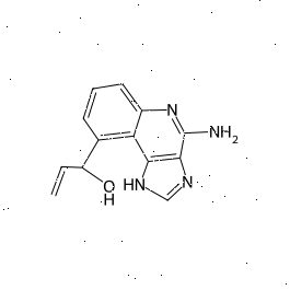 C=CC(O)c1cccc2nc(N)c3nc[nH]c3c12